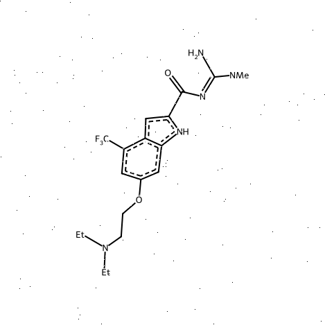 CCN(CC)CCOc1cc(C(F)(F)F)c2cc(C(=O)N=C(N)NC)[nH]c2c1